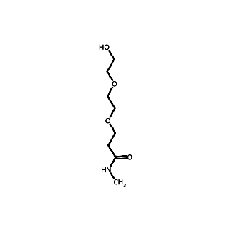 CNC(=O)CCOCCOCCO